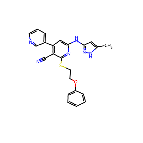 Cc1cc(Nc2cc(-c3cccnc3)c(C#N)c(SCCOc3ccccc3)n2)n[nH]1